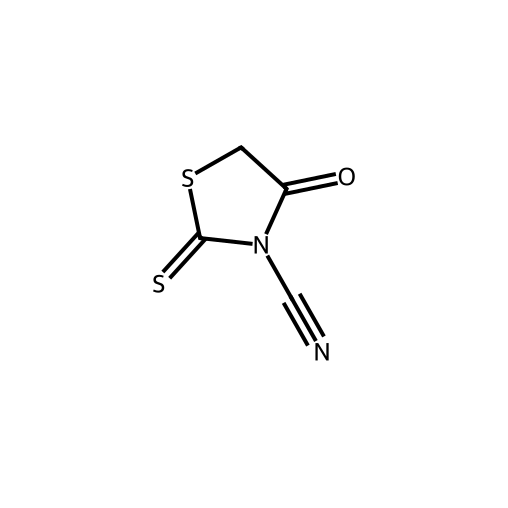 N#CN1C(=O)CSC1=S